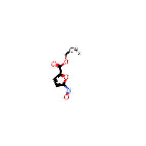 CCOC(=O)c1ccc(N=O)o1